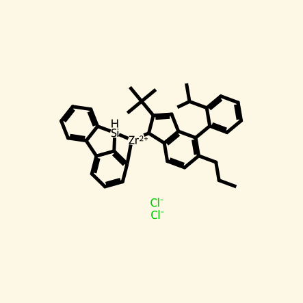 CCCc1ccc2c(c1-c1ccccc1C(C)C)C=C(C(C)(C)C)[CH]2[Zr+2]1[c]2cccc3c2[SiH]1c1ccccc1-3.[Cl-].[Cl-]